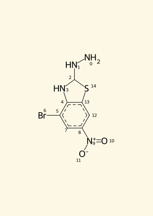 NNC1Nc2c(Br)cc([N+](=O)[O-])cc2S1